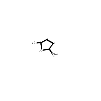 COC1CCC(O)O1